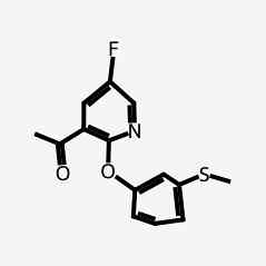 CSc1cccc(Oc2ncc(F)cc2C(C)=O)c1